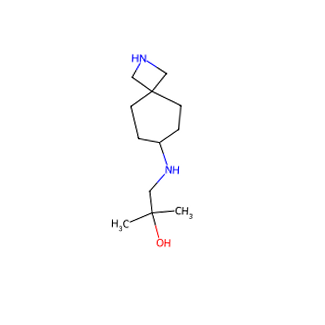 CC(C)(O)CNC1CCC2(CC1)CNC2